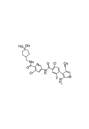 C#Cc1cncc(N)c1-c1cc(Cl)c(C(=O)Nc2cnc(C(=O)NCC3CCS(O)(O)CC3)c(Cl)c2)cc1F